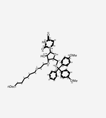 CCCCCCCCCCCCCCCCOCCOC1C(COC(c2ccccc2)(c2ccc(OC)cc2)c2ccc(OC)cc2)OC(n2ccc(=O)[nH]c2=O)C1O